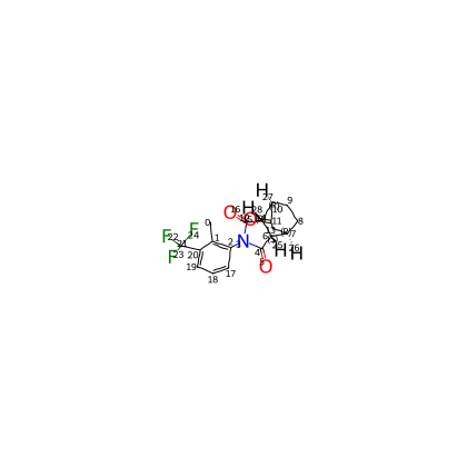 Cc1c(N2C(=O)[C@H]3[C@@H]4CC[C@@H](C(=O)C4)[C@H]3C2=O)cccc1C(F)(F)F